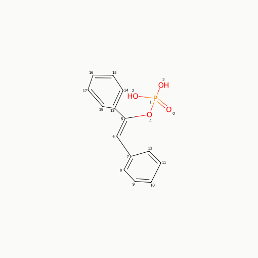 O=P(O)(O)OC(=Cc1ccccc1)c1ccccc1